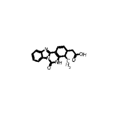 CC1c2[nH]c(=O)n3c(nc4ccccc43)c2C=CC1CC(=O)O